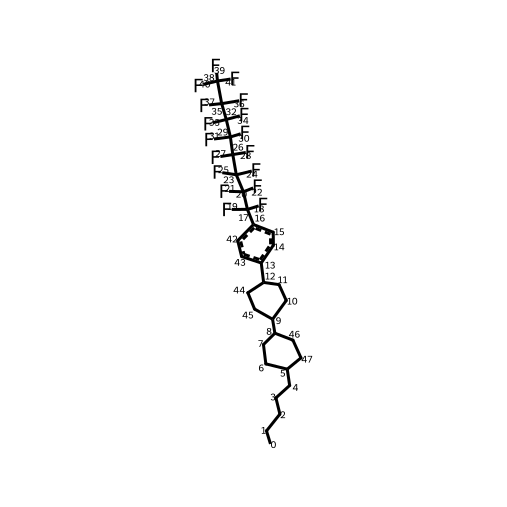 CCCCCC1CCC(C2CCC(c3ccc(C(F)(F)C(F)(F)C(F)(F)C(F)(F)C(F)(F)C(F)(F)C(F)(F)C(F)(F)F)cc3)CC2)CC1